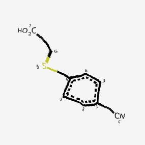 N#Cc1ccc(SCC(=O)O)cc1